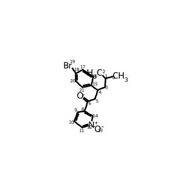 CC(C)CC(CC(=O)c1ccc[n+]([O-])c1)c1ccc(Br)cc1